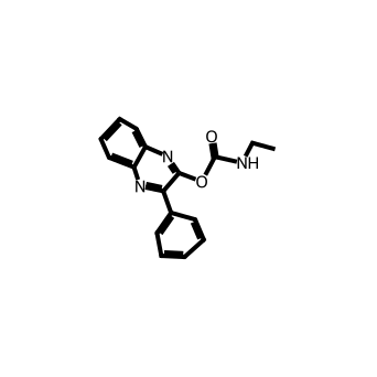 CCNC(=O)Oc1nc2ccccc2nc1-c1ccccc1